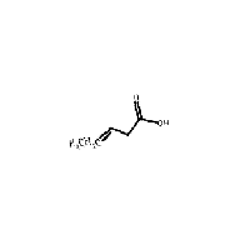 C.C=CCC(=O)O